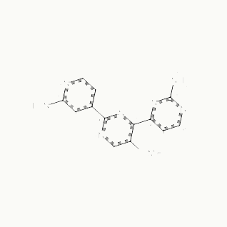 COc1cnc(-c2ccnc(N)c2)nc1-c1ccnc(N)n1